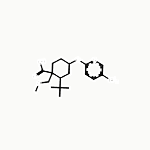 COCC1(C(=O)O)CCC(Oc2ccc(N)cn2)CC1C(C)(C)C